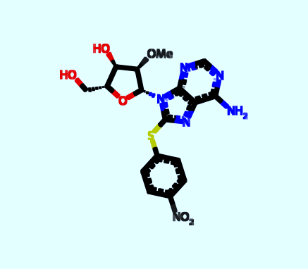 CO[C@@H]1[C@H](O)[C@@H](CO)O[C@H]1n1c(Sc2ccc([N+](=O)[O-])cc2)nc2c(N)ncnc21